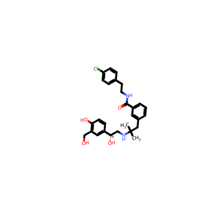 CC(C)(Cc1cccc(C(=O)NCCc2ccc(Cl)cc2)c1)NC[C@H](O)c1ccc(O)c(CO)c1